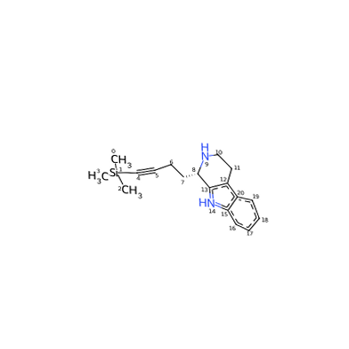 C[Si](C)(C)C#CCC[C@@H]1NCCc2c1[nH]c1ccccc21